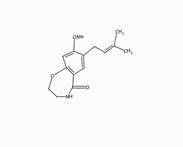 COc1cc2c(cc1CC=C(C)C)C(=O)NCCO2